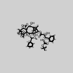 COC(O[C@H]1[C@H]2[C@@](C=O)(C[C@H](O)C3=C(C)[C@@H](OC(=O)[C@H](O)[C@@H](NC(=O)OC(C)(C)C)c4ccccc4)C[C@]1(O)C3(C)C)[C@@H](O)C[C@H]1OC[C@]12OC(C)=O)c1ccccc1